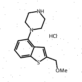 COCc1cc2c(N3CCNCC3)cccc2s1.Cl